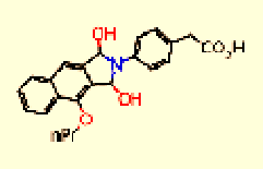 CCCOc1c2c(cc3ccccc13)C(O)N(c1ccc(CC(=O)O)cc1)C2O